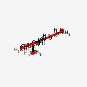 CC1=C(CCCCCCCCC(=O)CCCCCCC(N)C(=O)CCCCCCCNC(=O)CCCC(=O)NCCCCCNC(=O)C(CCCCNC(=O)CCCCCCCCC2=C(C)CCCC2(C)C)NC(=O)CCCCCCCCC2=C(C)CCCC2(C)C)C(C)(C)CCC1